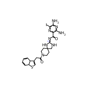 Nc1nc(N)c(C(=O)/N=C2\NCC3(CCN(C(=O)CC4=CSC5C=CC=CC45)CC3)N2)nc1I